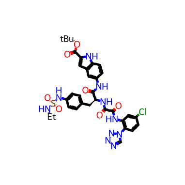 CCNS(=O)(=O)Nc1ccc(C[C@H](NC(=O)C(=O)Nc2cc(Cl)ccc2-n2cnnn2)C(=O)Nc2ccc3[nH]c(C(=O)OC(C)(C)C)cc3c2)cc1